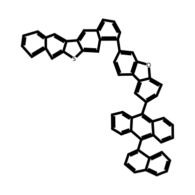 c1ccc2cc3c(cc2c1)sc1cc2c(-c4ccc5c(c4)oc4ccc(-c6c7ccccc7c(-c7cccc8ccccc78)c7ccccc67)cc45)cccc2cc13